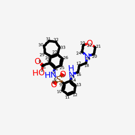 O=C(O)c1c(NS(=O)(=O)c2ccccc2NCCCN2CCOCC2)ccc2c1CCCCC2